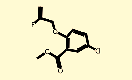 C=C(F)COc1ccc(Cl)cc1C(=O)OC